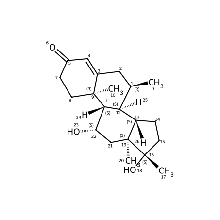 C[C@@H]1CC2=CC(=O)CC[C@]2(C)[C@@H]2[C@@H]1[C@@H]1CC[C@](C)(O)[C@@]1(C)C[C@@H]2O